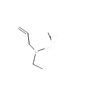 C=CCN(O)CC.CO.Cl